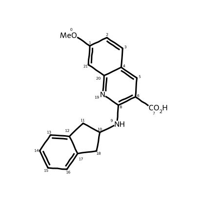 COc1ccc2cc(C(=O)O)c(NC3Cc4ccccc4C3)nc2c1